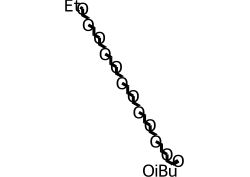 CCOCCOCCOCCOCCOCCOCCOCCOCCOCCOCCOCC(=O)OCC(C)C